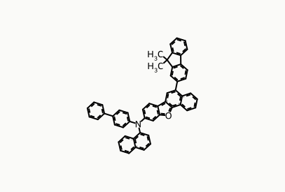 CC1(C)c2ccccc2-c2ccc(-c3cc4c5ccc(N(c6ccc(-c7ccccc7)cc6)c6cccc7ccccc67)cc5oc4c4ccccc34)cc21